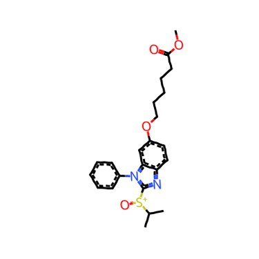 COC(=O)CCCCCOc1ccc2nc([S+]([O-])C(C)C)n(-c3ccccc3)c2c1